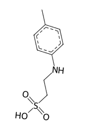 Cc1ccc(NCCS(=O)(=O)O)cc1